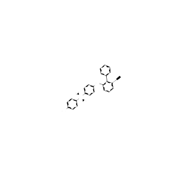 C#Cc1cccc(Oc2ccc(S(=O)(=O)c3ccc(O)cc3)cc2)c1-c1ccccc1